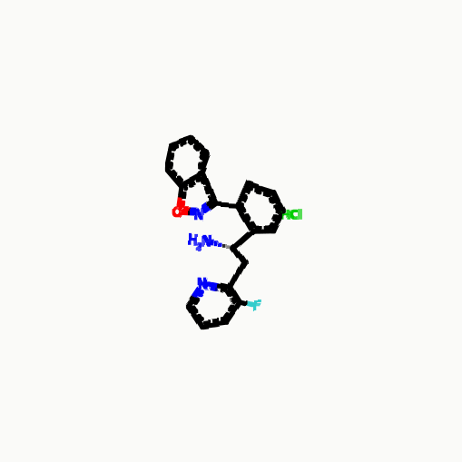 Cl.N[C@@H](Cc1ncccc1F)c1ccccc1-c1noc2ccccc12